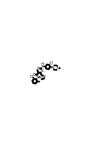 Cc1cccc(Cl)c1-n1c(=O)c2cnc(Nc3ccc(N4CCN(C)CC4)c(Cl)c3)nc2c2nccn21